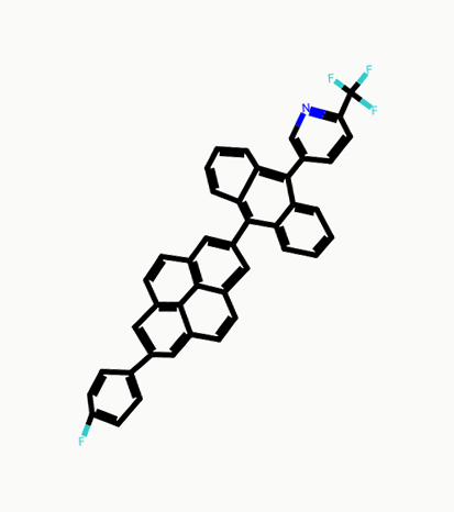 Fc1ccc(-c2cc3ccc4cc(-c5c6ccccc6c(-c6ccc(C(F)(F)F)nc6)c6ccccc56)cc5ccc(c2)c3c45)cc1